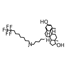 Cc1cc(O)cc2c1[C@H]1CC[C@]3(C)[C@@H](O)CC[C@H]3[C@@H]1[C@H](CCCCCN(C)CCCCCCCC(F)(F)C(F)(F)F)C2